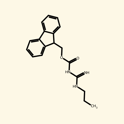 CCCNC(=N)NC(=O)OCC1c2ccccc2-c2ccccc21